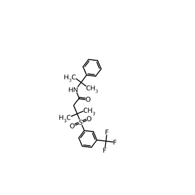 CC(C)(NC(=O)CC(C)(C)S(=O)(=O)c1cccc(C(F)(F)F)c1)c1ccccc1